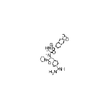 N=C(N)c1ccc(CC(C(=O)N2CCCCC2)N2CCC(NS(=O)(=O)c3ccc4cc5c(cc4c3)OCO5)C2=O)cc1